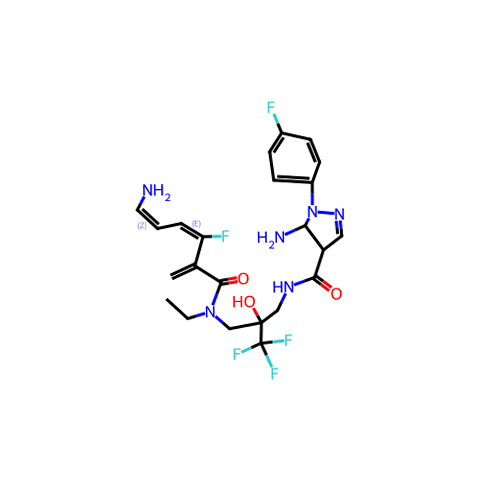 C=C(C(=O)N(CC)CC(O)(CNC(=O)C1C=NN(c2ccc(F)cc2)C1N)C(F)(F)F)/C(F)=C\C=C/N